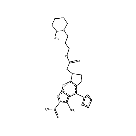 CC1CCCCN1CCCNC(=O)CC1CCc2c1nc1sc(C(N)=O)c(N)c1c2-c1cccs1